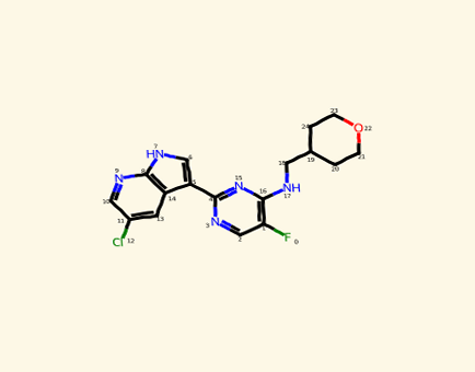 Fc1cnc(-c2c[nH]c3ncc(Cl)cc23)nc1NCC1CCOCC1